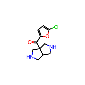 O=C(c1ccc(Cl)o1)C12CNCC1CNC2